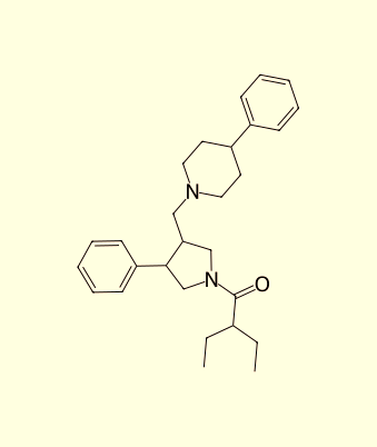 CCC(CC)C(=O)N1CC(CN2CCC(c3ccccc3)CC2)C(c2ccccc2)C1